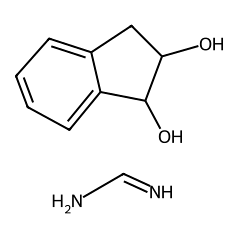 N=CN.OC1Cc2ccccc2C1O